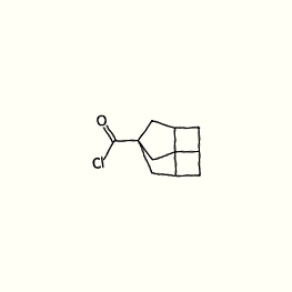 O=C(Cl)C12CC3CC4CC(C1)C43C2